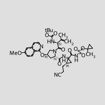 C=C(C)[C@H](NC(=O)OC(C)(C)C)C(=O)N1C[C@H](Oc2nccc3cc(OC)ccc23)C[C@H]1C(=O)N[C@]1(C(=O)NS(=O)(=O)OC2(C)CC2)C[C@H]1CCC#N